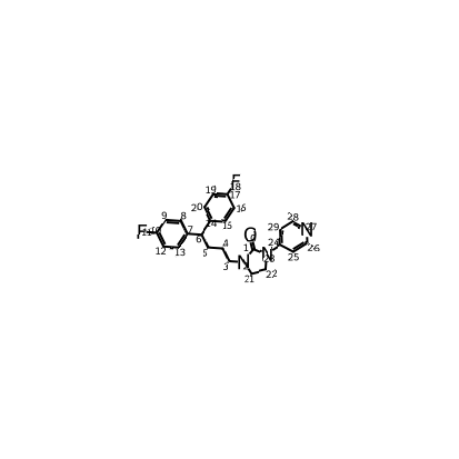 O=C1N(CCCC(c2ccc(F)cc2)c2ccc(F)cc2)CCN1c1ccncc1